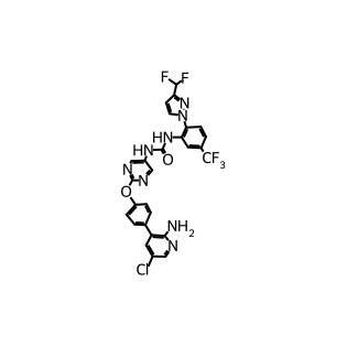 Nc1ncc(Cl)cc1-c1ccc(Oc2ncc(NC(=O)Nc3cc(C(F)(F)F)ccc3-n3ccc(C(F)F)n3)cn2)cc1